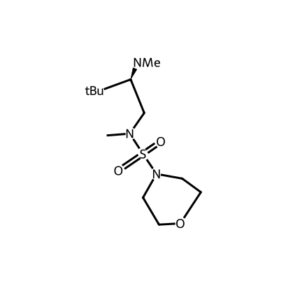 CN[C@@H](CN(C)S(=O)(=O)N1CCOCC1)C(C)(C)C